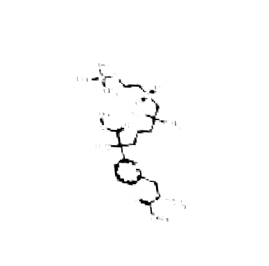 COC(=O)[C@@H](C)Cc1cccc(C(C)(CCCC(C)(C)CS(=O)(=O)CCO[Si](C)(C)C(C)(C)C)C(=O)OC(C)(C)C)n1